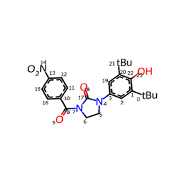 CC(C)(C)c1cc(N2CCN(C(=O)c3ccc([N+](=O)[O-])cc3)C2=O)cc(C(C)(C)C)c1O